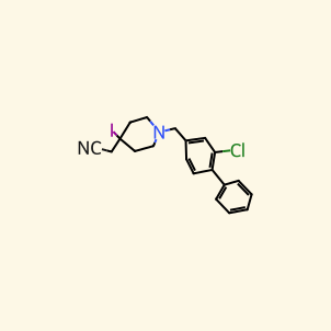 N#CCC1(I)CCN(Cc2ccc(-c3ccccc3)c(Cl)c2)CC1